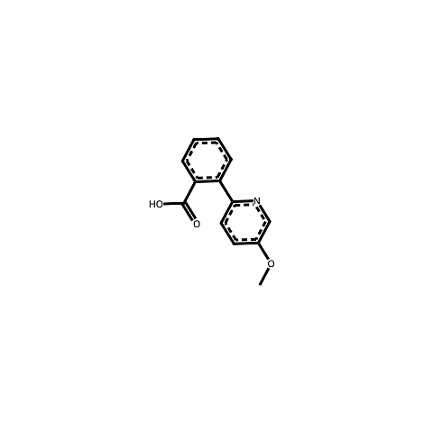 COc1ccc(-c2ccccc2C(=O)O)nc1